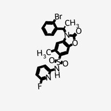 Cc1cc2c(cc1S(=O)(=O)Nc1cccc(F)n1)oc(=O)n2[C@H](C)c1ccccc1Br